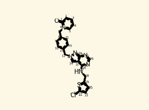 O=c1ccccn1Cc1ccc(Cn2cc3c(NCc4ccc(Cl)s4)ncnc3n2)cc1